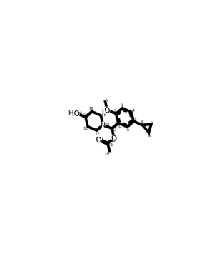 COc1ccc(C2CC2)cc1C(OC(C)=O)N1CCC(O)CC1